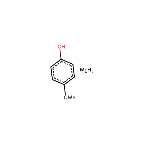 COc1ccc(O)cc1.[MgH2]